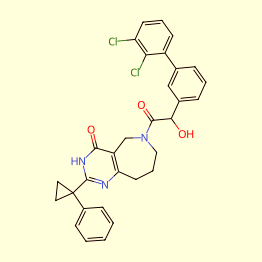 O=C(C(O)c1cccc(-c2cccc(Cl)c2Cl)c1)N1CCCc2nc(C3(c4ccccc4)CC3)[nH]c(=O)c2C1